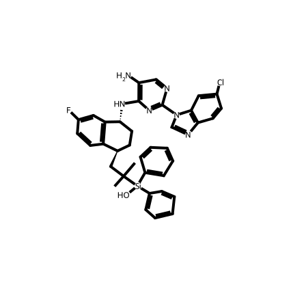 CC(C)(C[C@@H]1CC[C@@H](Nc2nc(-n3cnc4ccc(Cl)cc43)ncc2N)c2cc(F)ccc21)[Si](O)(c1ccccc1)c1ccccc1